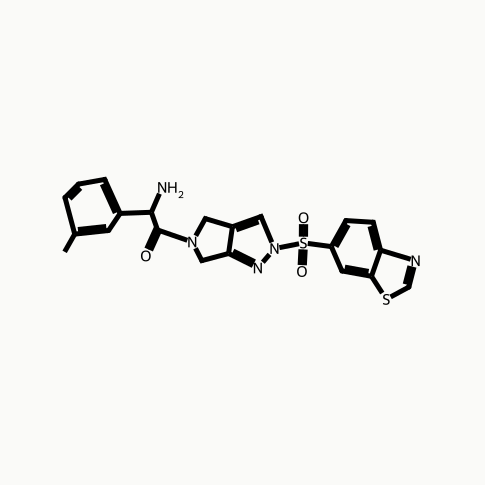 Cc1cccc(C(N)C(=O)N2Cc3cn(S(=O)(=O)c4ccc5ncsc5c4)nc3C2)c1